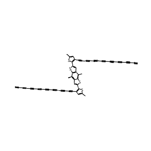 C#CC#CC#CC#CC#CC#CC#CC#Cc1cc(C)sc1-c1cc2c(C)c3sc(-c4sc(C)cc4C#CC#CC#CC#CC#CC#CC#CC#C)cc3c(C)c2s1